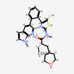 CN(C(=O)[C@@H](CC(=O)O)CC1CCOCC1)c1nc(-c2ccccc2-c2cnc3c(ccn3C)c2)c(F)s1